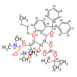 CCCCOC1=C(OP(=O)(N(C)C)N(C)C)C(=O)OC1C(COC(c1ccccc1)(c1ccccc1)c1ccccc1)OC(=O)OC(C)(C)C